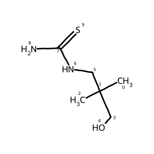 CC(C)(CO)CNC(N)=S